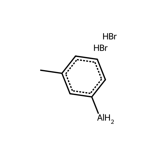 Br.Br.Cc1ccc[c]([AlH2])c1